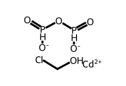 O=[PH]([O-])O[PH](=O)[O-].OCCl.[Cd+2]